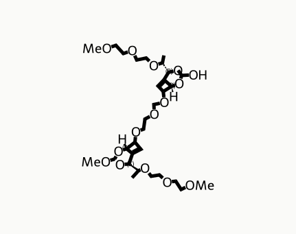 COCCOCCOC(C)[C@@H]1OC(O)O[C@@H]2C1=CC2OCOCCOC1C=C2[C@@H](C(C)OCCOCCOC)OC(OC)O[C@@H]21